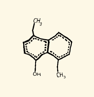 Cc1ccc(O)c2c(C)cccc12